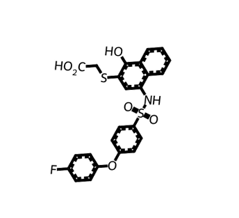 O=C(O)CSc1cc(NS(=O)(=O)c2ccc(Oc3ccc(F)cc3)cc2)c2ccccc2c1O